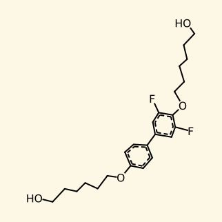 OCCCCCCOc1ccc(-c2cc(F)c(OCCCCCCO)c(F)c2)cc1